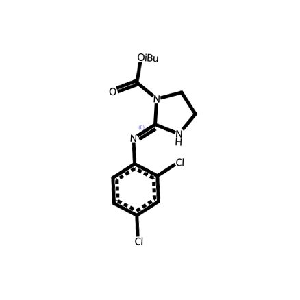 CC(C)COC(=O)N1CCN/C1=N\c1ccc(Cl)cc1Cl